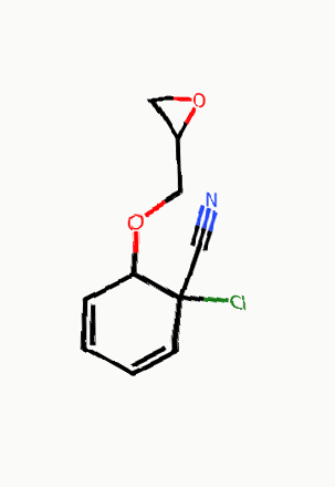 N#CC1(Cl)C=CC=CC1OCC1CO1